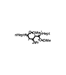 CCCCCCCC(CC(CCC)CC(CCCCCCC)OOC)OOC